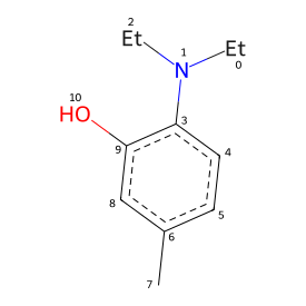 CCN(CC)c1ccc(C)cc1O